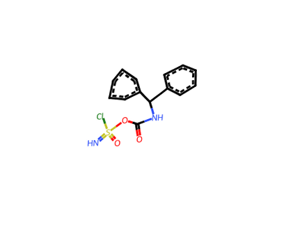 N=S(=O)(Cl)OC(=O)NC(c1ccccc1)c1ccccc1